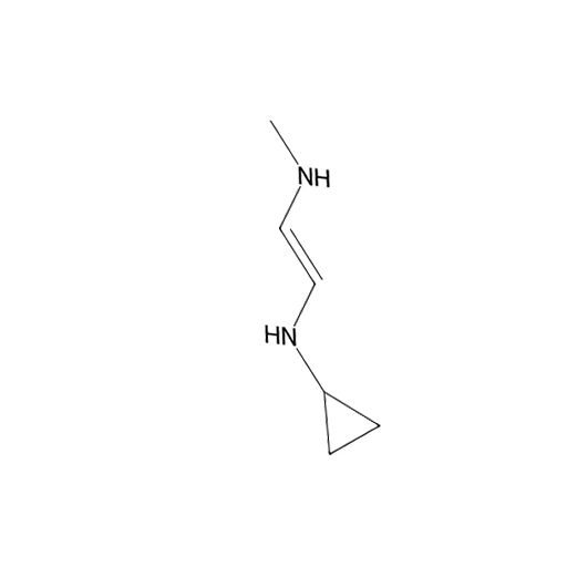 CNC=CNC1CC1